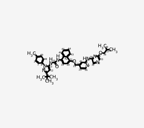 Cc1ccc(-n2nc(C(C)(C)C)cc2NC(=O)Nc2ccc(OCc3ccnc(Nc4cncc(OCC(C)C)n4)c3)c3ccccc23)cc1